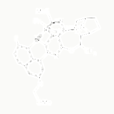 COCOc1cc(-c2nc3c4c(nc(SC)nc4c2F)N2CC4CCC(C2C(C)O3)N4C(=O)O)c2c(C#C[Si](C(C)C)(C(C)C)C(C)C)c(F)ccc2c1